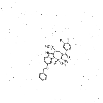 CC(C)C1N(C(=O)c2ccc(F)c(F)c2)C=C(C(=O)O)c2[nH]c3ccc(OCc4ccccc4)cc3c2C1(C)C